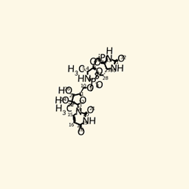 CC(C)OC(=O)[C@@H](C)NP(=O)(OC[C@H]1O[C@@H](n2ccc(=O)[nH]c2=O)[C@](C)(O)[C@@H]1O)SC[C@H]1NC(=O)NC1=O